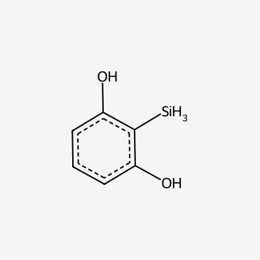 Oc1cccc(O)c1[SiH3]